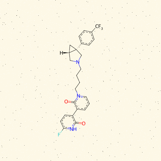 O=c1[nH]c(F)ccc1-c1cccn(CCCCN2C[C@@H]3C[C@@]3(c3ccc(C(F)(F)F)cc3)C2)c1=O